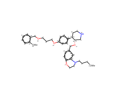 COCCCN1CCOc2ccc(CO[C@H]3CNCC[C@@H]3c3ccc(OCCCOCc4ccccc4OC)cc3)cc21